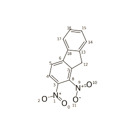 O=[N+]([O-])c1ccc2c(c1[N+](=O)[O-])Cc1ccccc1-2